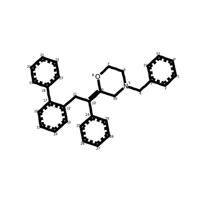 c1ccc(CN2CCOC(=C(Cc3ccccc3-c3ccccc3)c3ccccc3)C2)cc1